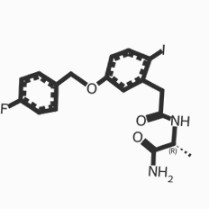 C[C@@H](NC(=O)Cc1cc(OCc2ccc(F)cc2)ccc1I)C(N)=O